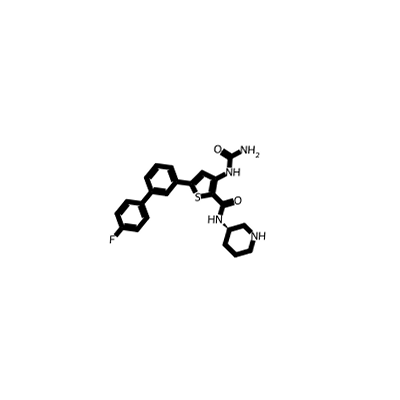 NC(=O)Nc1cc(-c2cccc(-c3ccc(F)cc3)c2)sc1C(=O)N[C@H]1CCCNC1